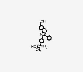 CC1(O)CC(N)(c2ccc(-c3nc4n(c3-c3ccccc3)COc3cc(CO)ccc3-4)cc2)C1